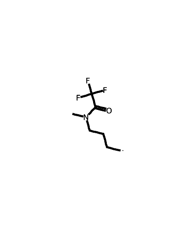 [CH2]CCCN(C)C(=O)C(F)(F)F